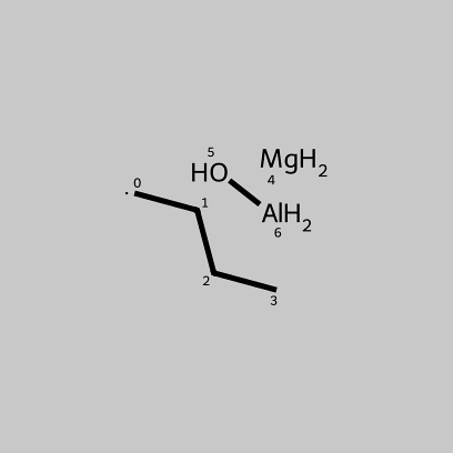 [CH2]CCC.[MgH2].[OH][AlH2]